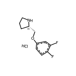 Cl.Fc1ccc(OC[C@@H]2CCCN2)cc1F